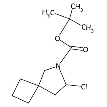 CC(C)(C)OC(=O)N1CC2(CCC2)CC1Cl